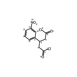 O=C(Cl)CC(CC(=O)Cl)c1cccc([N+](=O)[O-])c1